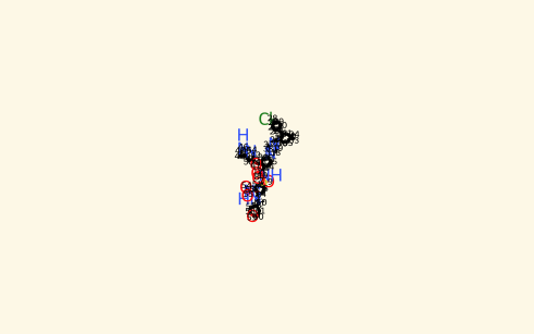 C[C@H](Nc1ccc(S(=O)(=O)NC(=O)c2ccc(N3CCN(CC4=C(c5ccc(Cl)cc5)CC(C)(C)CC4)CC3)cc2Oc2cnc3[nH]ccc3c2)cc1[N+](=O)[O-])C1CCOCC1